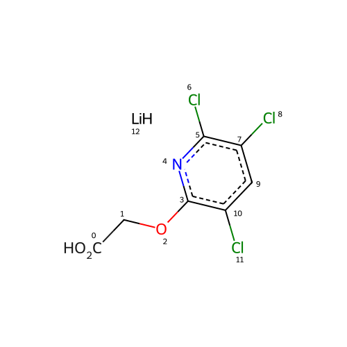 O=C(O)COc1nc(Cl)c(Cl)cc1Cl.[LiH]